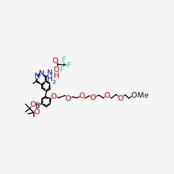 COCCOCCOCCOCCOCCOCCOc1ccc(B2OC(C)(C)C(C)(C)O2)cc1-c1ccc2c(N)nnc(C)c2c1.O=C(O)C(F)(F)F